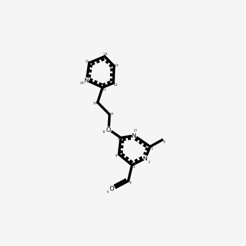 Cc1nc(C=O)cc(OCCc2ccccn2)n1